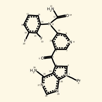 CC(C)n1cc(C(=O)c2cncc(N(C(N)=O)c3cccc(F)c3F)c2)c2c(N)ncnc21